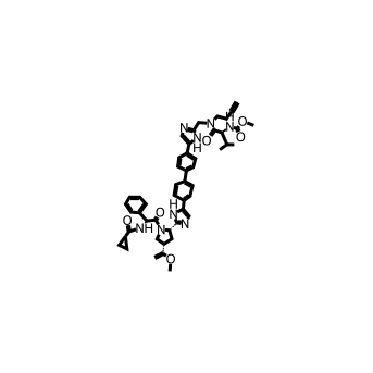 C#CCCN(Cc1ncc(-c2ccc(-c3ccc(-c4cnc([C@@H]5C[C@H](C(=C)OC)CN5C(=O)[C@H](NC(=O)C5CC5)c5ccccc5)[nH]4)cc3)cc2)[nH]1)C(=O)[C@@H](NC(=O)OC)C(C)C